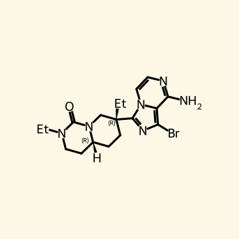 CCN1CC[C@H]2CC[C@@](CC)(c3nc(Br)c4c(N)nccn34)CN2C1=O